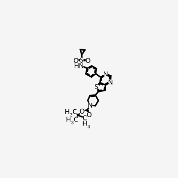 CC(C)(C)OC(=O)N1CC=C(c2cc3ncnc(-c4ccc(NS(=O)(=O)C5CC5)cc4)c3s2)CC1